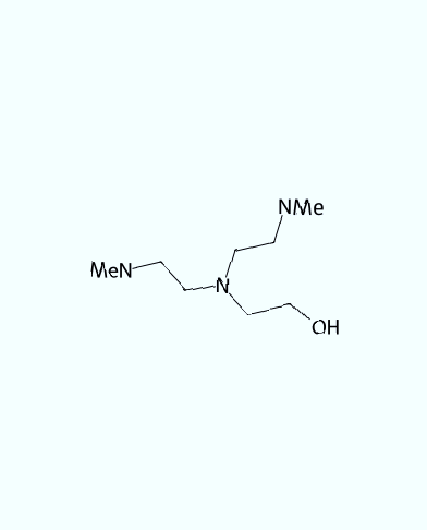 CNCCN(CCO)CCNC